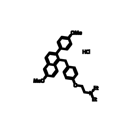 CCN(CC)CCOc1ccc(Cc2c(-c3ccc(OC)cc3)ccc3cc(OC)ccc23)cc1.Cl